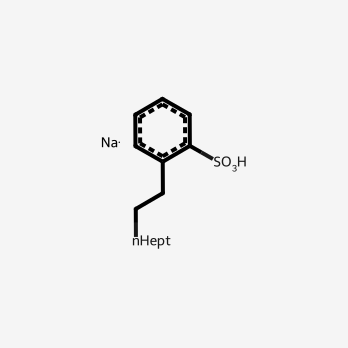 CCCCCCCCCc1ccccc1S(=O)(=O)O.[Na]